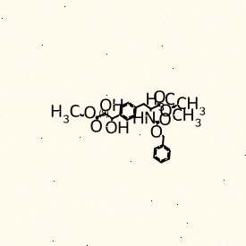 CCOC(=O)[C@@H](O)C(O)c1ccc(CC(NC(=O)OCc2ccccc2)C(=O)OC(C)(C)C)cc1